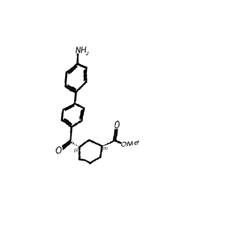 COC(=O)[C@H]1CCC[C@H](C(=O)c2ccc(-c3ccc(N)cc3)cc2)C1